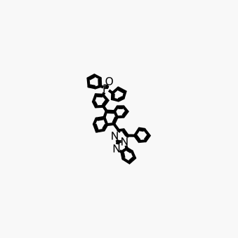 O=P(c1ccccc1)(c1ccccc1)c1cccc(-c2c3ccccc3c(-c3cc(-c4ccccc4)n4c(n3)nc3ccccc34)c3ccccc23)c1